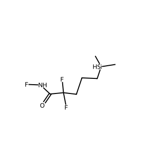 C[SiH](C)CCCC(F)(F)C(=O)NF